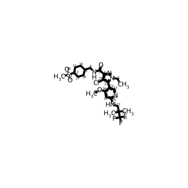 CCn1nc(C(=O)NCC2CCC(S(C)(=O)=O)CC2)c(Cl)c1-c1cnc(NCC(C)(C)C(F)(F)F)cc1OC